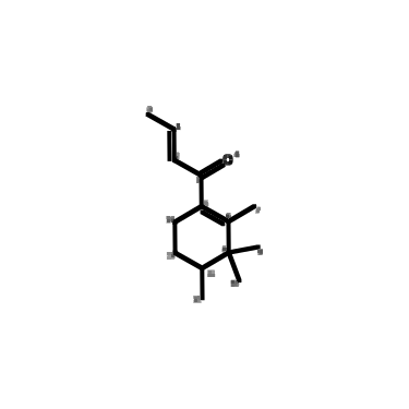 CC=CC(=O)C1=C(C)C(C)(C)C(C)CC1